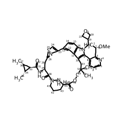 CO[C@@H](C)c1ncccc1-c1c2c3cc(ccc3n1CC1COC1)-c1csc(n1)C[C@H](NC(=O)[C@H]1[C@H](C)[C@@H]1C)C(=O)N1CCC[C@H](N1)C(=O)OCC(C)(C)C2